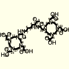 CC(=O)C(CCCCNC(=O)CN1CCN(CC(=O)O)CCN(CC(=O)O)CCN(CC(=O)O)CC1)NC(=O)CN1CCN(CC(=O)O)CCN(CC(=O)O)CCN(CC(=O)O)CC1